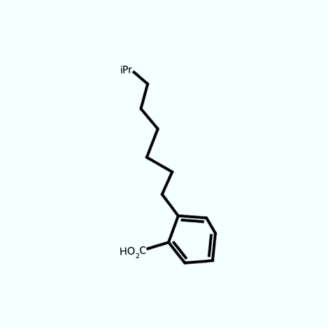 CC(C)CCCCCCc1ccccc1C(=O)O